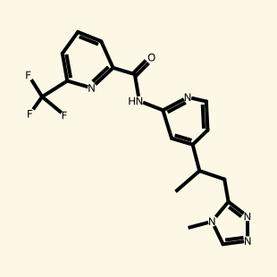 CC(Cc1nncn1C)c1ccnc(NC(=O)c2cccc(C(F)(F)F)n2)c1